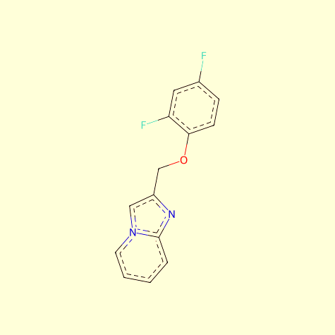 Fc1ccc(OCc2cn3ccccc3n2)c(F)c1